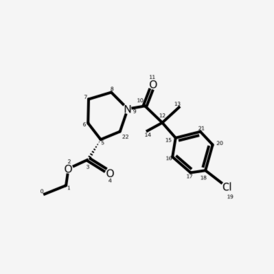 CCOC(=O)[C@@H]1CCCN(C(=O)C(C)(C)c2ccc(Cl)cc2)C1